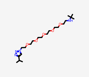 CC(C)c1cn(CCOCCOCCOCCOCCOCCNC(C)(C)C)nn1